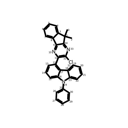 CC1(C)c2ccccc2-c2nc(-c3cccc4c3c3ccccc3n4-c3ccccc3)c(Cl)nc21